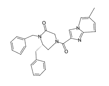 Cc1ccc2nc(C(=O)N3CC(=O)N(Cc4ccccc4)[C@@H](Cc4ccccc4)C3)cn2c1